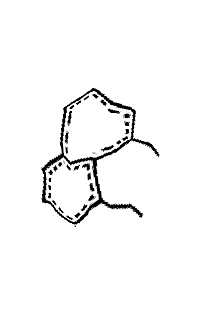 Cc1[c]ccc2cccc(C)c12